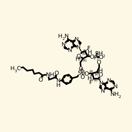 B[P@@]1(=O)OC[C@H]2O[C@@H](n3cnc4c(N)ncnc43)[C@H](F)[C@@H]2O[P@@](=O)(SCc2ccc(NC(=O)CNC(=O)CCCCCC)cc2)OC[C@H]2O[C@@H](n3cnc4c(N)ncnc43)[C@H](F)[C@@H]2O1